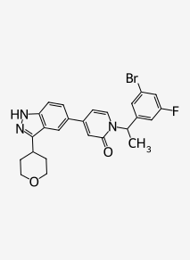 CC(c1cc(F)cc(Br)c1)n1ccc(-c2ccc3[nH]nc(C4CCOCC4)c3c2)cc1=O